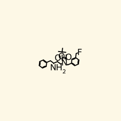 CC(C)(C)OC(=O)N(Cc1cccc(CF)c1)C[C@@H](O)[C@@H](N)Cc1ccccc1